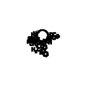 Cc1nc2ccccc2c2c1O[C@]1(CC2)C[C@H]2C(=O)N[C@]3(C(=O)NS(=O)(=O)C4(C)CC4)C[C@H]3/C=C\CCCCC[C@H](NC(=O)OC3(C)CCC3)C(=O)N2C1